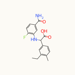 CCc1cc(C(Nc2cc(C(N)=O)ccc2F)C(=O)O)ccc1C